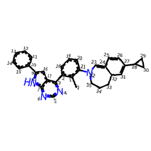 Cc1c(-c2ncnc3[nH]c(-c4ccccc4)cc23)cccc1N1C=C2C=CC(C3CC3)=CC2CCC1